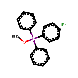 Br.CCCO[PH](c1ccccc1)(c1ccccc1)c1ccccc1